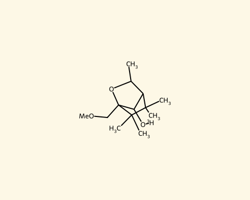 [3H]OC1C2C(C)OC1(COC)C(C)(C)C2(C)C